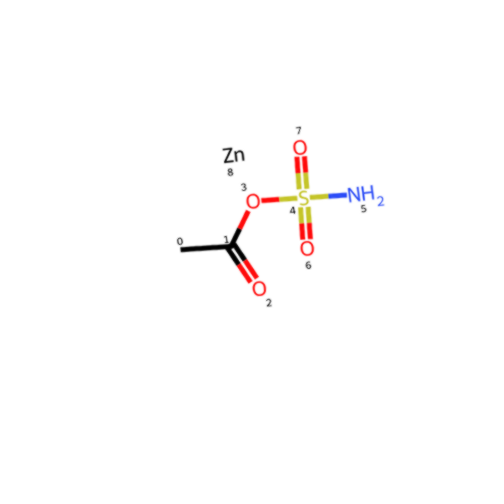 CC(=O)OS(N)(=O)=O.[Zn]